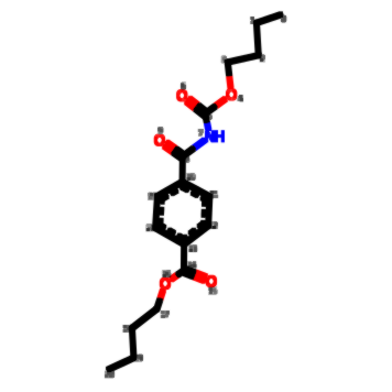 CCCCOC(=O)NC(=O)c1ccc(C(=O)OCCCC)cc1